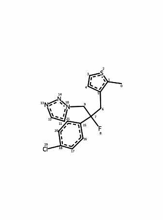 Cc1sccc1CC(F)(Cn1ccnn1)c1ccc(Cl)cc1